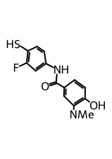 CNc1cc(C(=O)Nc2ccc(S)c(F)c2)ccc1O